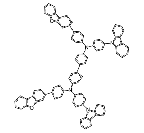 c1ccc2c(c1)oc1cc(-c3ccc(N(c4ccc(-c5ccc(N(c6ccc(-c7ccc8c(c7)oc7ccccc78)cc6)c6ccc(-n7c8ccccc8c8ccccc87)cc6)cc5)cc4)c4ccc(-n5c6ccccc6c6ccccc65)cc4)cc3)ccc12